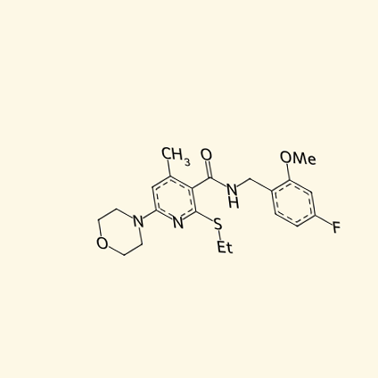 CCSc1nc(N2CCOCC2)cc(C)c1C(=O)NCc1ccc(F)cc1OC